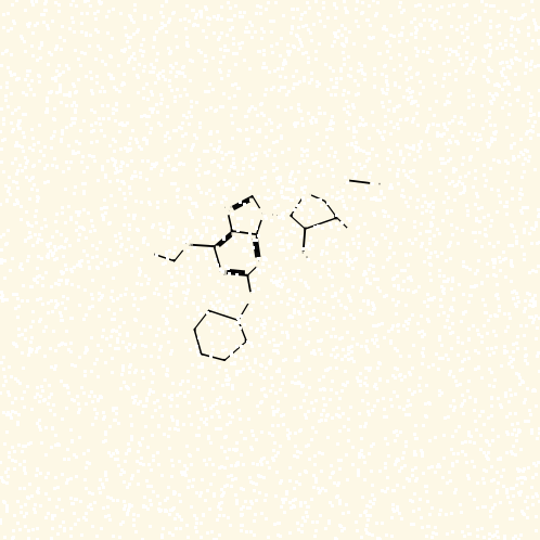 CCNc1nc(SC2CCCCC2)nc2c1ncn2[C@@H]1O[C@H](CO)C(O)C1O